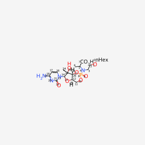 CCCCCCOCCN([C@@H](C)C(=O)O)P1(=O)OC[C@H]2O[C@@H](n3ccc(N)nc3=O)[C@](C)(O)[C@@H]2O1